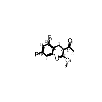 COC(=O)C(Cc1ccc(F)cc1F)C(C)=O